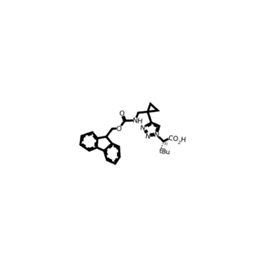 CC(C)(C)[C@@H](C(=O)O)n1cc(C2(CNC(=O)OCC3c4ccccc4-c4ccccc43)CC2)nn1